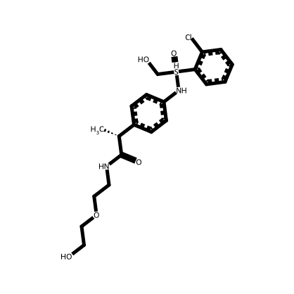 C[C@@H](C(=O)NCCOCCO)c1ccc(N[SH](=O)(CO)c2ccccc2Cl)cc1